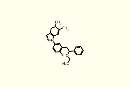 CCOC(Cc1cc(-n2ncc3c2C=C(C)C(C)C3)ccc1F)c1ccccc1